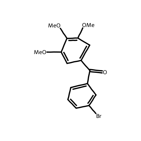 COc1cc(C(=O)c2cccc(Br)c2)cc(OC)c1OC